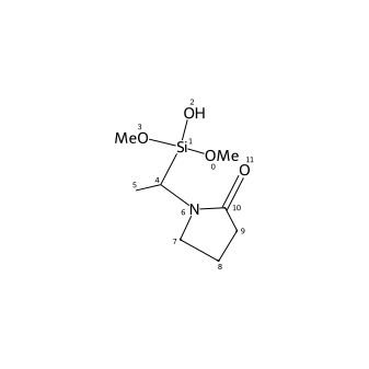 CO[Si](O)(OC)C(C)N1CCCC1=O